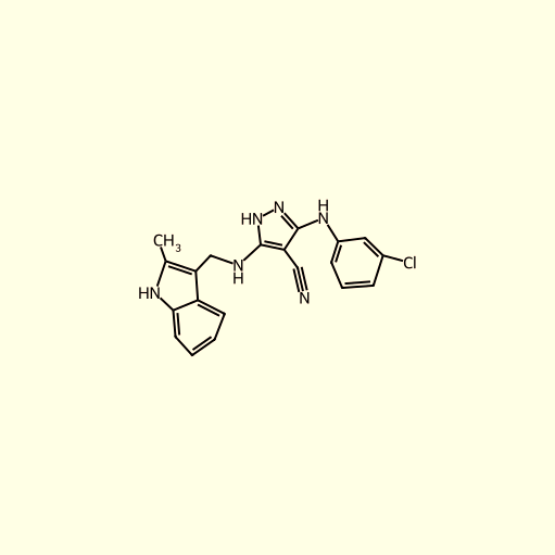 Cc1[nH]c2ccccc2c1CNc1[nH]nc(Nc2cccc(Cl)c2)c1C#N